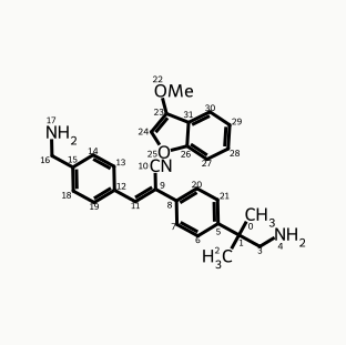 CC(C)(CN)c1ccc(/C(C#N)=C/c2ccc(CN)cc2)cc1.COc1coc2ccccc12